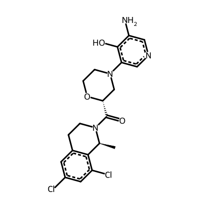 C[C@H]1c2c(Cl)cc(Cl)cc2CCN1C(=O)[C@H]1CN(c2cncc(N)c2O)CCO1